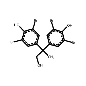 CC(CO)(c1cc(Br)c(O)c(Br)c1)c1cc(Br)c(O)c(Br)c1